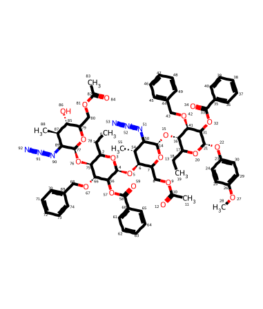 CCC1O[C@@H](O[C@@H]2C(COC(C)=O)O[C@@H](O[C@H]3C(CC)O[C@@H](Oc4ccc(OC)cc4)C(OC(=O)c4ccccc4)[C@@H]3OCc3ccccc3)C(N=[N+]=[N-])[C@H]2C)C(OC(=O)c2ccccc2)[C@H](OCc2ccccc2)[C@H]1O[C@@H]1OC(COC(C)=O)[C@@H](O)[C@H](C)C1N=[N+]=[N-]